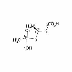 CP(=O)(O)C[C@@H](N)CC(=O)O